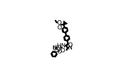 CCOC(=O)C1(c2ccc(-c3ccc(-c4onc(C)c4NC(=O)NS(=O)(=O)c4ccccc4)cc3)cc2)CC1